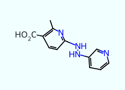 Cc1nc(NNc2cccnc2)ccc1C(=O)O